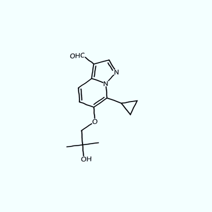 CC(C)(O)COc1ccc2c(C=O)cnn2c1C1CC1